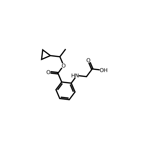 CC(OC(=O)c1ccccc1NCC(=O)O)C1CC1